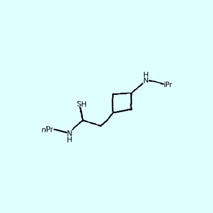 CCCNC(S)CC1CC(NC(C)C)C1